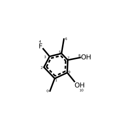 Cc1cc(F)c(C)c(O)c1O